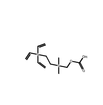 C=C[Si](C=C)(C=C)CC[Si](C)(C)COC(=O)O